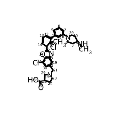 CNC1CCN(c2cccc(C3=CC=CC(c4nc5cc(CN6CC[C@@H](C(=O)O)C6)cc(Cl)c5o4)C3(C)Cl)c2)CC1